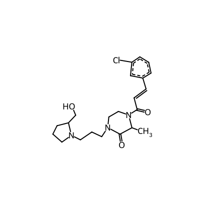 CC1C(=O)N(CCCN2CCCC2CO)CCN1C(=O)C=Cc1cccc(Cl)c1